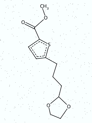 COC(=O)c1ccc(CCCC2OCCO2)s1